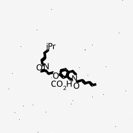 CC=CC=CC(=O)N1CCc2ccc(OCCc3coc(C=CCCC(C)C)n3)cc2C1C(=O)O